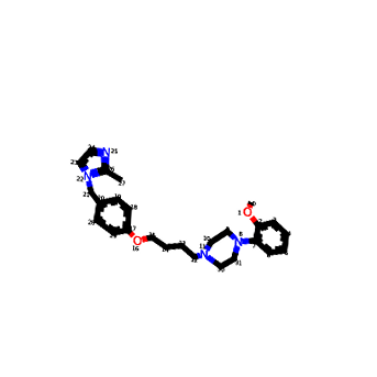 COc1ccccc1N1CCN(CCCCOc2ccc(Cn3ccnc3C)cc2)CC1